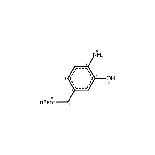 CCCCCCc1ccc(N)c(O)c1